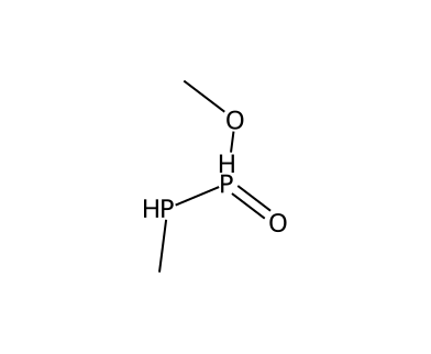 CO[PH](=O)PC